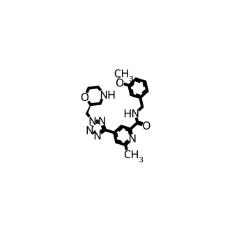 COc1cccc(CNC(=O)c2cc(-c3nnn(C[C@@H]4CNCCO4)n3)cc(C)n2)c1